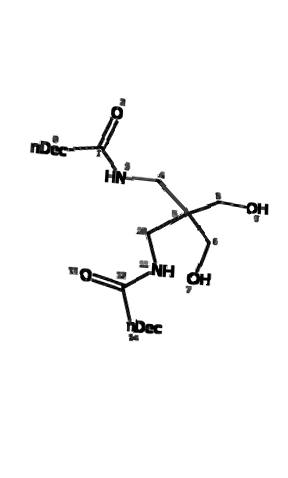 CCCCCCCCCCC(=O)NCC(CO)(CO)CNC(=O)CCCCCCCCCC